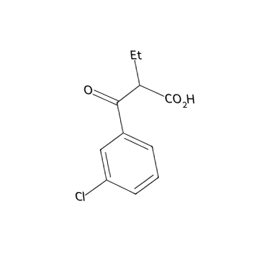 CCC(C(=O)O)C(=O)c1cccc(Cl)c1